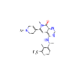 CC(=O)N1CC=C(c2cc3c(NC(C)c4cccc(C(F)(F)F)c4C)ncnc3c(=O)n2C)CC1